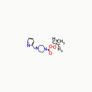 CC(C)(C)OOC(=O)N1CCN(Cc2ccccn2)CC1